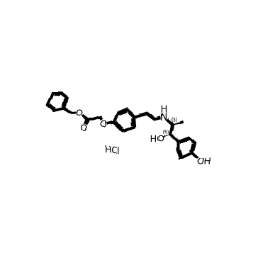 C[C@H](NCCc1ccc(OCC(=O)OCc2ccccc2)cc1)[C@@H](O)c1ccc(O)cc1.Cl